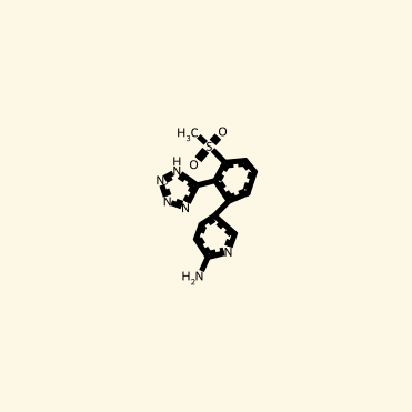 CS(=O)(=O)c1cccc(-c2ccc(N)nc2)c1-c1nnn[nH]1